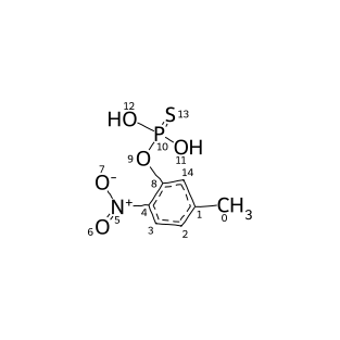 Cc1ccc([N+](=O)[O-])c(OP(O)(O)=S)c1